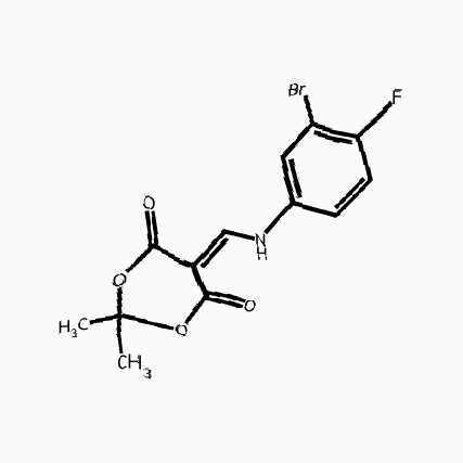 CC1(C)OC(=O)C(=CNc2ccc(F)c(Br)c2)C(=O)O1